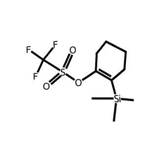 C[Si](C)(C)C1=C(OS(=O)(=O)C(F)(F)F)CCCC1